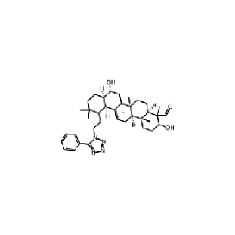 CC1(C)CC[C@H]2[C@H](O)C[C@]3(C)C(=CC[C@@H]4[C@@]5(C)CC[C@H](O)[C@@](C)(C=O)[C@@H]5CC[C@]43C)[C@H]2C1CCn1nnnc1-c1ccccc1